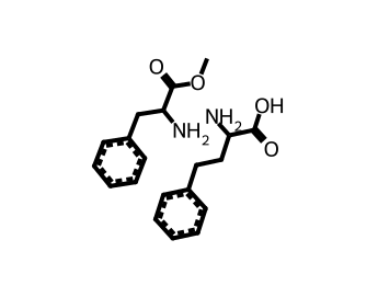 COC(=O)C(N)Cc1ccccc1.NC(CCc1ccccc1)C(=O)O